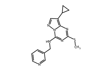 CSc1nc(NCc2cccnc2)n2ncc(C3CC3)c2n1